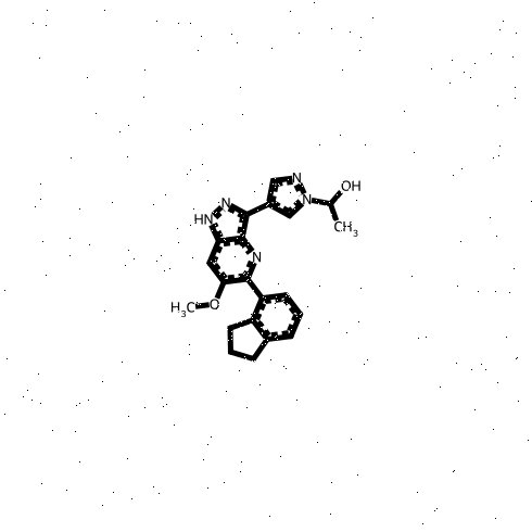 COc1cc2[nH]nc(-c3cnn(C(C)O)c3)c2nc1-c1cccc2c1CCC2